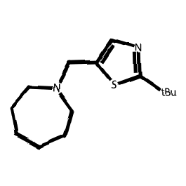 CC(C)(C)c1ncc(CN2CCCCCC2)s1